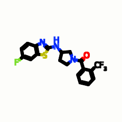 O=C(c1ccccc1C(F)(F)F)N1CCC(Nc2nc3ccc(F)cc3s2)C1